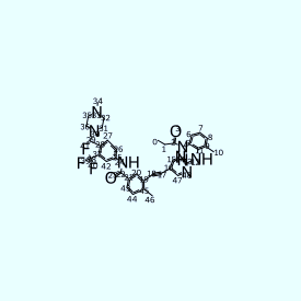 CCC(=O)Nc1cccc(C)c1Nc1ncc(C#Cc2cc(C(=O)Nc3ccc(CN4CCN(C)CC4)c(C(F)(F)F)c3)ccc2C)cn1